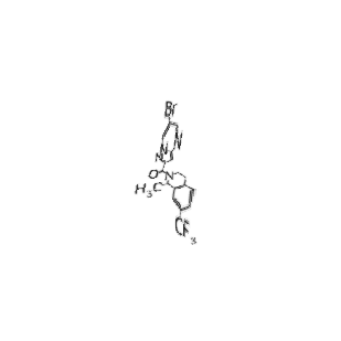 CC1c2cc(C(F)(F)F)ccc2CCN1C(=O)c1cc2ncc(Br)cn2n1